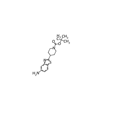 CC(C)(C)OC(=O)N1CCC(c2nc3cc(N)ccc3s2)CC1